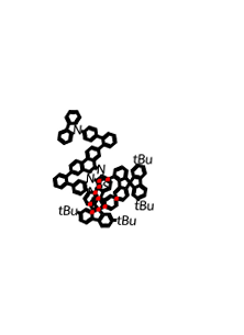 CC(C)(C)c1ccc2c(c1)C1(c3cc(C(C)(C)C)ccc3-2)c2ccccc2-c2c(-c3sc(-c4cccc5c4-c4ccccc4C54c5cc(C(C)(C)C)ccc5-c5ccc(C(C)(C)C)cc54)c4nc5c6cc(-c7ccccc7-c7ccc(-n8c9ccccc9c9ccccc98)cc7)ccc6c6ccc(-c7ccccc7-c7ccc(-n8c9ccccc9c9ccccc98)cc7)cc6c5nc34)cccc21